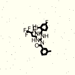 Cc1cccc(C(=O)/N=C(/NCc2ccc(F)cc2Cl)NC2CC(C(F)(F)F)NN2)c1